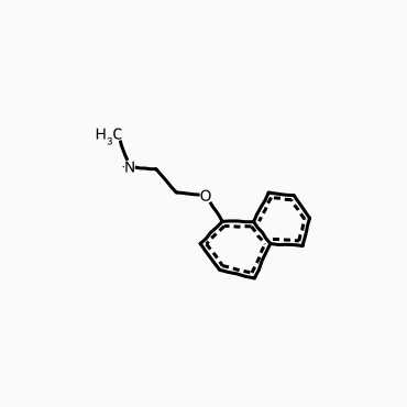 C[N]CCOc1cccc2ccccc12